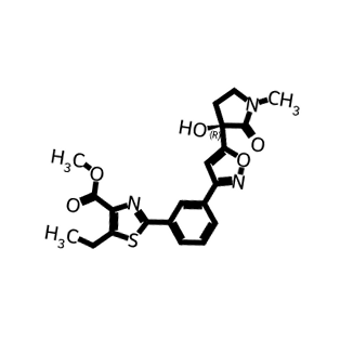 CCc1sc(-c2cccc(-c3cc([C@]4(O)CCN(C)C4=O)on3)c2)nc1C(=O)OC